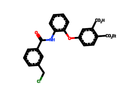 CCOC(=O)c1ccc(Oc2ccccc2NC(=O)c2cccc(CCl)c2)cc1C(=O)O